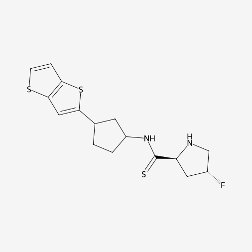 F[C@H]1CN[C@H](C(=S)NC2CCC(c3cc4sccc4s3)C2)C1